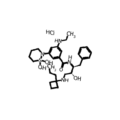 CCCC1(NC[C@@H](O)[C@H](Cc2ccccc2)NC(=O)c2cc(NCC)cc(N3CCCCS3(O)O)c2)CCC1.Cl